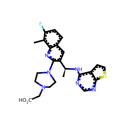 Cc1c(F)ccc2cc([C@H](C)Nc3ncnc4sccc34)c(N3CCN(CC(=O)O)CC3)nc12